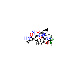 CN(C(=O)[C@@H](NC(=O)C(F)(F)F)C(C)(C)C)[C@@H](CC1CC1)C(=O)N[C@H](C#N)C[C@@H]1CC2(CC2)NC1=O